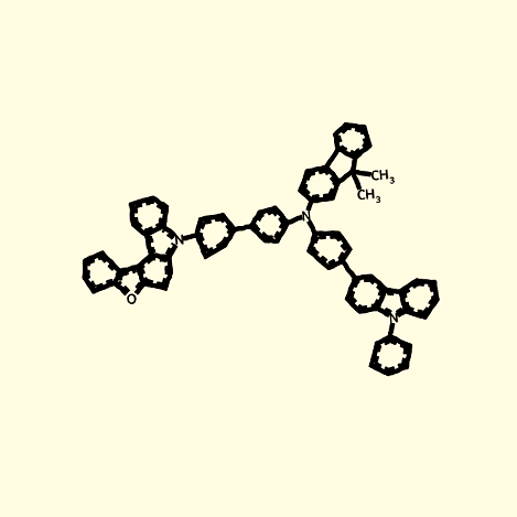 CC1(C)c2ccccc2-c2ccc(N(c3ccc(-c4ccc(-n5c6ccccc6c6c7c(ccc65)oc5ccccc57)cc4)cc3)c3ccc(-c4ccc5c(c4)c4ccccc4n5-c4ccccc4)cc3)cc21